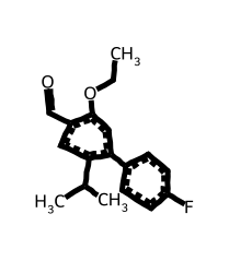 CCOc1cc(-c2ccc(F)cc2)c(C(C)C)cc1C=O